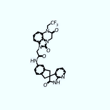 O=C(Cn1c(=O)n2c3c(cccc31)N(CC(F)(F)F)C(=O)C2)Nc1ccc2c(c1)CC1(C2)C(=O)Nc2ncccc21